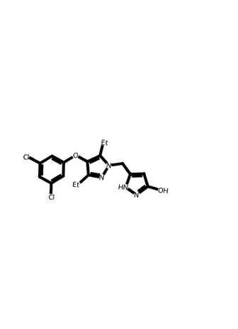 CCc1nn(Cc2cc(O)n[nH]2)c(CC)c1Oc1cc(Cl)cc(Cl)c1